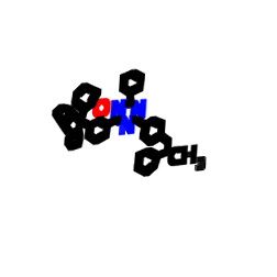 CC(Cc1ccc(-c2nc(-c3ccccc3)nc(-c3cccc4c3Oc3ccccc3C43c4ccccc4-c4ccccc43)n2)cc1)c1ccccc1